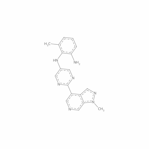 Cc1cccc(N)c1Nc1cnc(-c2cncc3c2cnn3C)nc1